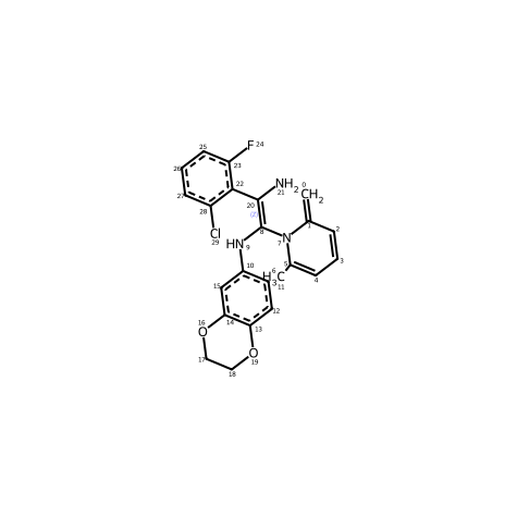 C=C1C=CC=C(C)N1/C(Nc1ccc2c(c1)OCCO2)=C(\N)c1c(F)cccc1Cl